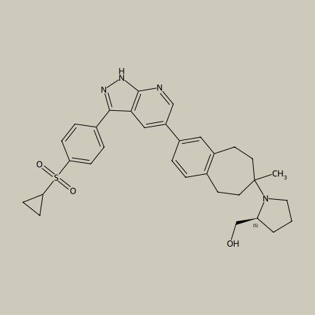 CC1(N2CCC[C@H]2CO)CCc2ccc(-c3cnc4[nH]nc(-c5ccc(S(=O)(=O)C6CC6)cc5)c4c3)cc2CC1